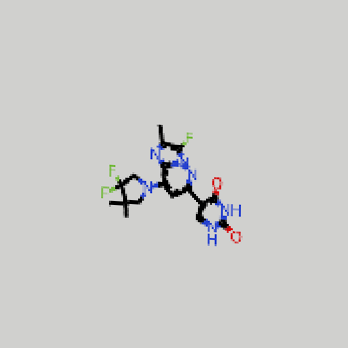 Cc1nc2c(N3CC(C)(C)C(F)(F)C3)cc(-c3c[nH]c(=O)[nH]c3=O)nn2c1F